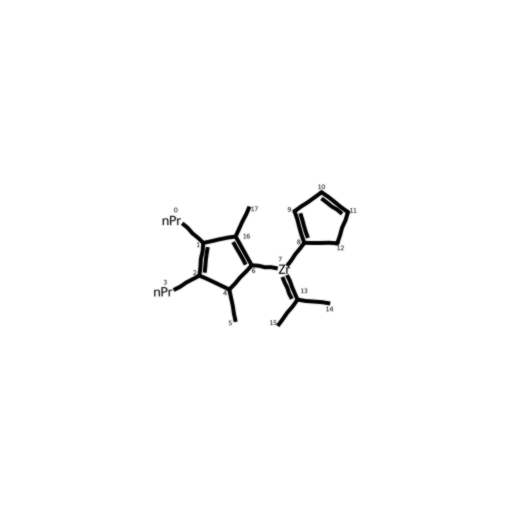 CCCC1=C(CCC)C(C)[C]([Zr]([C]2=CC=CC2)=[C](C)C)=C1C